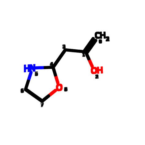 C=C(O)CC1NCCO1